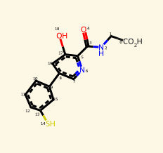 O=C(O)CNC(=O)c1ncc(-c2cccc(S)c2)cc1O